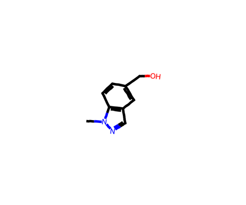 Cn1ncc2cc(CO)ccc21